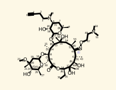 C#CCCN(C)[C@H]1C[C@@H](C)OC(O[C@@H]2[C@@H](C)[C@H](OC3C[C@@](C)(OC)[C@@H](O)[C@H](C)O3)[C@@H](C)C(=O)O[C@H](CC)[C@@](C)(O)[C@H](O)[C@@H](C)/C(=N/OCCN(C)C)[C@H](C)C[C@@]2(C)O)[C@@H]1O